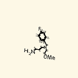 COCCN(CCCN)Cc1ccc(F)cc1